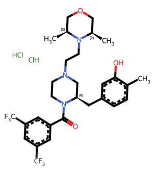 Cc1ccc(C[C@@H]2CN(CCN3[C@H](C)COC[C@@H]3C)CCN2C(=O)c2cc(C(F)(F)F)cc(C(F)(F)F)c2)cc1O.Cl.Cl